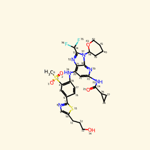 CS(=O)(=O)c1cc(-c2ncc(CCCO)s2)ccc1Nc1cc(NC(=O)C2CC2)nc2c1nc(C(F)F)n2C1CCCCO1